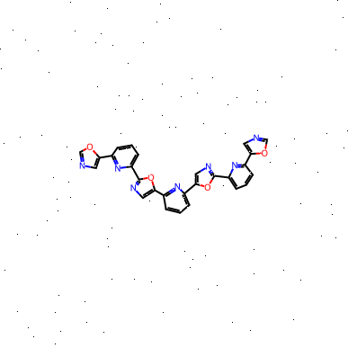 c1cc(-c2cnc(-c3cccc(-c4cnco4)n3)o2)nc(-c2cnc(-c3cccc(-c4cnco4)n3)o2)c1